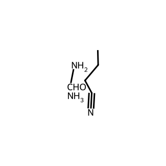 CCCC#N.N.NC=O